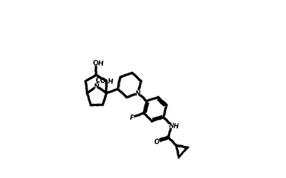 O=C(Nc1ccc(N2CCCC(C34CCC(CC(O)C3)N4C(=O)O)C2)c(F)c1)C1CC1